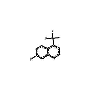 FC(F)(F)c1ccnc2cc(I)ccc12